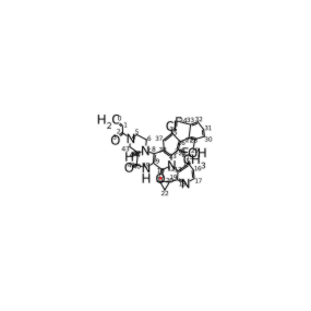 C=CC(=O)N1CCN2c3c(c(=O)n(-c4c(C)ccnc4C4CC4)c4c(F)c(-c5c(O)cccc5F)c(Cl)cc34)NC(=O)[C@H]2C1